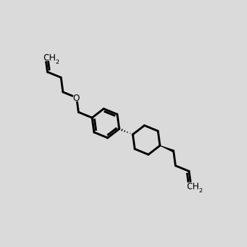 C=CCCOCc1ccc([C@H]2CC[C@H](CCC=C)CC2)cc1